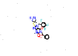 Cn1c(=O)n(CC(=O)c2ccccc2)c(=O)c2c1nc(SC(C)(C)CN)n2Cc1cc(F)c(F)cc1F